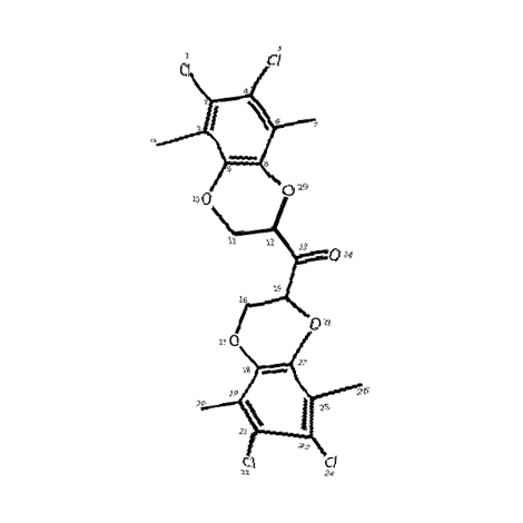 Cc1c(Cl)c(Cl)c(C)c2c1OCC(C(=O)C1COc3c(C)c(Cl)c(Cl)c(C)c3O1)O2